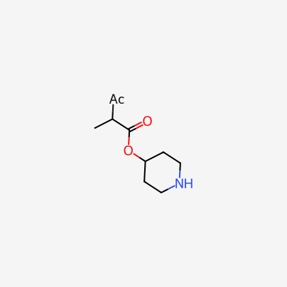 CC(=O)C(C)C(=O)OC1CCNCC1